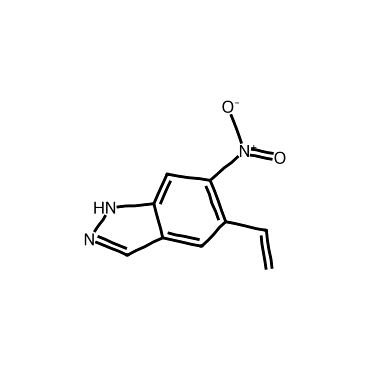 C=Cc1cc2cn[nH]c2cc1[N+](=O)[O-]